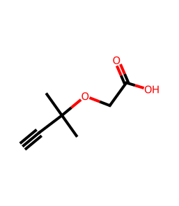 C#CC(C)(C)OCC(=O)O